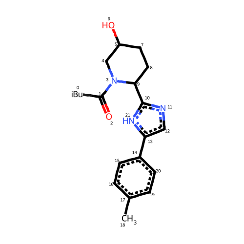 CCC(C)C(=O)N1CC(O)CCC1c1ncc(-c2ccc(C)cc2)[nH]1